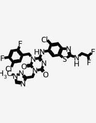 Cn1cnc(Cn2c(=O)nc(Nc3cc4sc(NCC(F)F)nc4cc3Cl)n(Cc3cc(Cl)c(F)cc3F)c2=O)n1